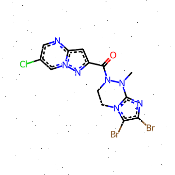 CN1c2nc(Br)c(Br)n2CCN1C(=O)c1cc2ncc(Cl)cn2n1